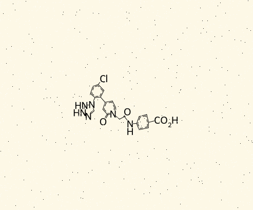 O=C(Cn1ccc(-c2cc(Cl)ccc2N2C=NNN2)cc1=O)Nc1ccc(C(=O)O)cc1